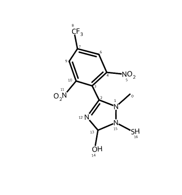 CN1C(c2c([N+](=O)[O-])cc(C(F)(F)F)cc2[N+](=O)[O-])=NC(O)N1S